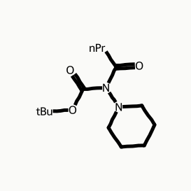 [CH2]CCC(=O)N(C(=O)OC(C)(C)C)N1CCCCC1